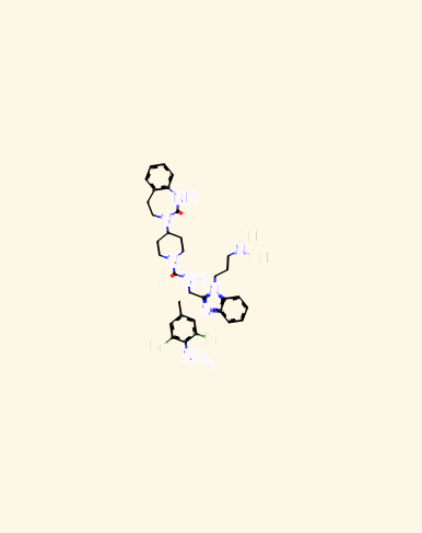 CN(C)CCCn1c([C@@H](Cc2cc(Br)c(N)c(Br)c2)NC(=O)N2CCC(N3CCc4ccccc4NC3=O)CC2)nc2ccccc21